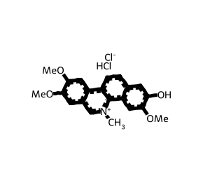 COc1cc2c(ccc3c4cc(OC)c(OC)cc4c[n+](C)c23)cc1O.Cl.[Cl-]